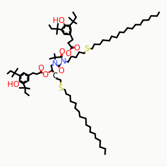 CCCCCCCCCCCCCCCCCCSCCCC(CN1C(=O)N(CC(CCCSCCCCCCCCCCCCCCCCCC)OC(=O)CCc2cc(C(C)(C)CC)c(O)c(C(C)(C)CC)c2)C(C)(C)C1=O)OC(=O)CCc1cc(C(C)(C)CC)c(O)c(C(C)(C)CC)c1